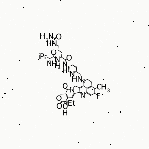 CC[C@@]1(O)C(=O)OCc2c1cc1n(c2=O)Cc2c-1nc1cc(F)c(C)c3c1c2[C@@H](NCc1ccc(NC(=O)C(CCCNC(N)=O)NC(=O)C(N)C(C)C)cn1)CC3